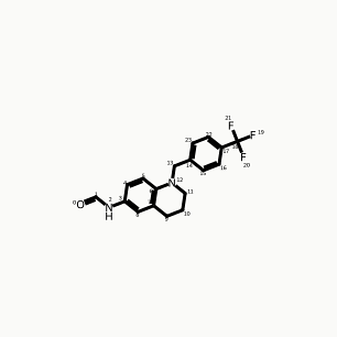 O=CNc1ccc2c(c1)CCCN2Cc1ccc(C(F)(F)F)cc1